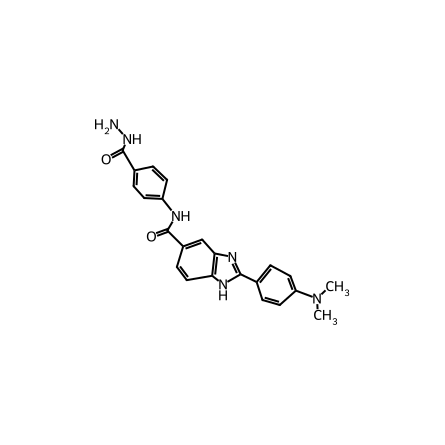 CN(C)c1ccc(-c2nc3cc(C(=O)Nc4ccc(C(=O)NN)cc4)ccc3[nH]2)cc1